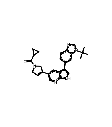 CC(C)(C)n1cnc2ccc(-c3c[nH]c4ncc(C5=CCN(C(=O)C6CC6)C5)cc34)cc21